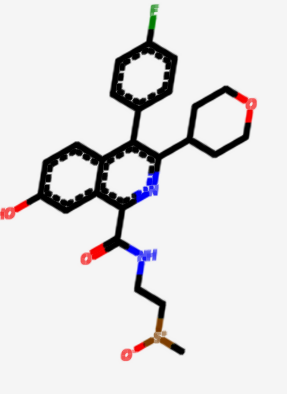 C[S+]([O-])CCNC(=O)c1nc(C2CCOCC2)c(-c2ccc(F)cc2)c2ccc(O)cc12